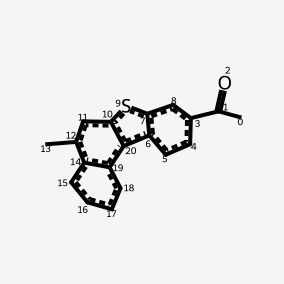 CC(=O)c1ccc2c(c1)sc1cc(C)c3ccccc3c12